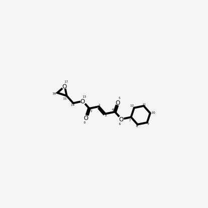 O=C(C=CC(=O)OC1CCCCC1)OCC1CO1